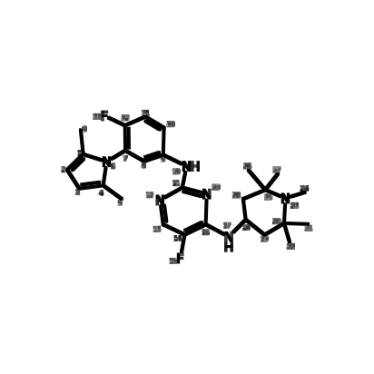 Cc1ccc(C)n1-c1cc(Nc2ncc(F)c(NC3CC(C)(C)N(C)C(C)(C)C3)n2)ccc1F